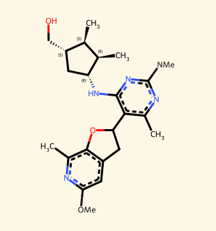 CNc1nc(C)c(C2Cc3cc(OC)nc(C)c3O2)c(N[C@@H]2C[C@H](CO)[C@@H](C)[C@H]2C)n1